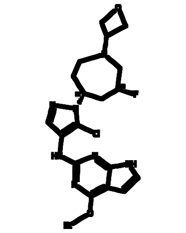 CCOc1nc(Nc2cnn([C@@H]3CCN(C4COC4)C[C@@H](F)C3)c2Cl)nc2[nH]ccc12